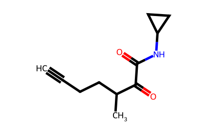 C#CCCC(C)C(=O)C(=O)NC1CC1